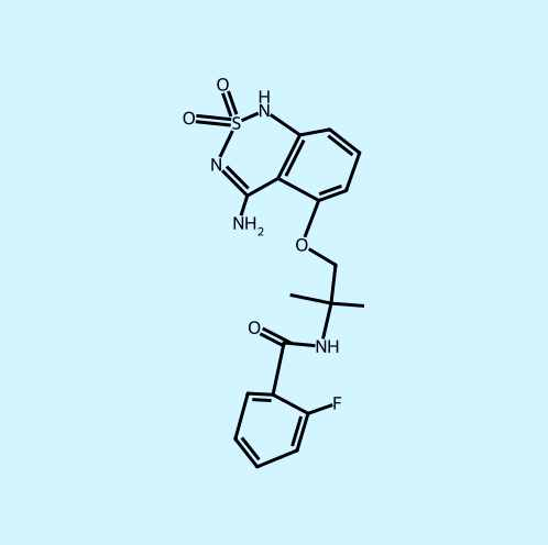 CC(C)(COc1cccc2c1C(N)=NS(=O)(=O)N2)NC(=O)c1ccccc1F